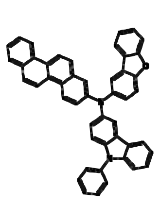 c1ccc(-n2c3ccccc3c3cc(N(c4ccc5c(ccc6c7ccccc7ccc56)c4)c4ccc5oc6ccccc6c5c4)ccc32)cc1